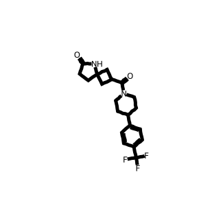 O=C1CCC2(CC(C(=O)N3CCC(c4ccc(C(F)(F)F)cc4)CC3)C2)N1